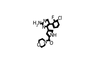 Nc1ncc(-c2cccc(Cl)c2F)c(-c2c[nH]c(C(=O)N3CCOCC3)c2)n1